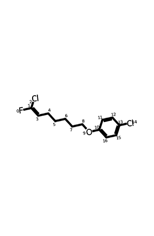 FC(Cl)=CCCCCCOc1ccc(Cl)cc1